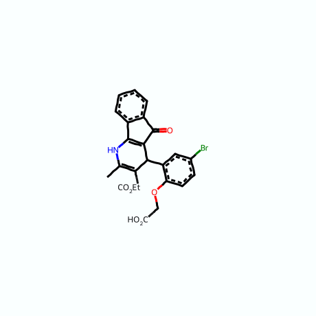 CCOC(=O)C1=C(C)NC2=C(C(=O)c3ccccc32)C1c1cc(Br)ccc1OCC(=O)O